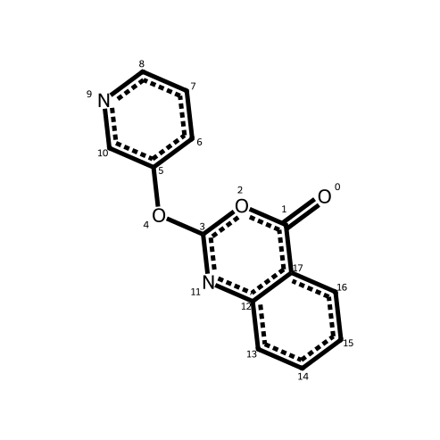 O=c1oc(Oc2cccnc2)nc2ccccc12